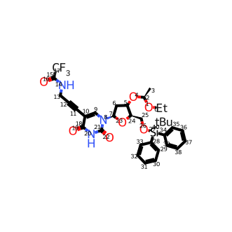 CCO[C@H](C)OC1C[C@H](n2cc(C#CCNC(=O)C(F)(F)F)c(=O)[nH]c2=O)O[C@@H]1CO[Si](c1ccccc1)(c1ccccc1)C(C)(C)C